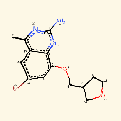 Cc1nc(N)nc2c(OCC3CCOC3)cc(Br)cc12